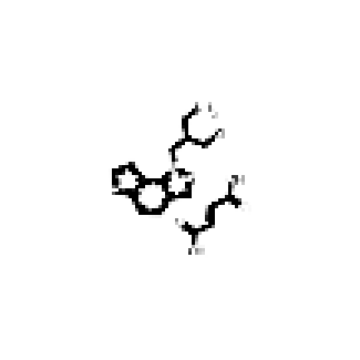 NCC(CCl)Cn1ncc2ccc3occc3c21.O=C(O)C=CC(=O)O